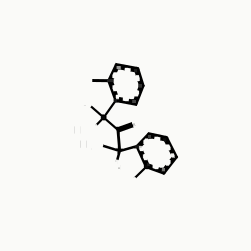 CC(Br)(C(=O)C(C)(Br)c1ccccc1F)c1ccccc1F